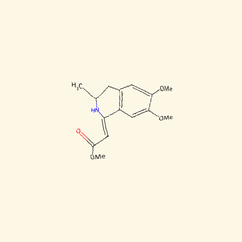 COC(=O)C=C1NC(C)Cc2cc(OC)c(OC)cc21